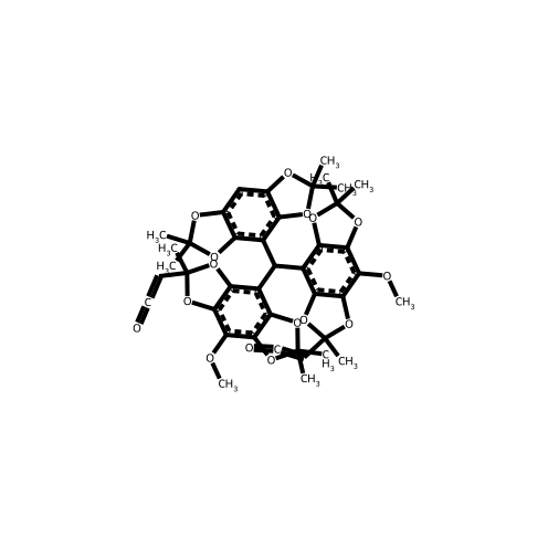 COc1c2c(c(C(c3c4c(cc5c3OC(C)(C)O5)OC(C)(C)O4)c3c4c(c(OC)c5c3OC(C)(C=C=O)O5)OC(C)(C)O4)c3c1OC(C)(C=C=O)O3)OC(C)(C)O2